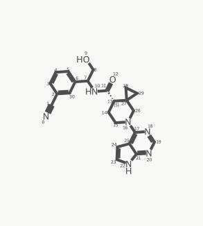 N#Cc1cccc(C(CO)NC(=O)[C@H]2CCN(c3ncnc4[nH]ccc34)CC23CC3)c1